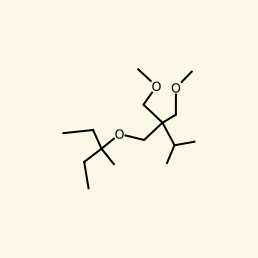 CCC(C)(CC)OCC(COC)(COC)C(C)C